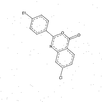 CCc1ccc(-c2nc3cc(Cl)ccc3c(=O)o2)cc1